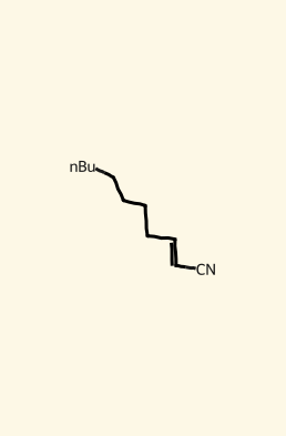 CCCCCCCC/C=C/C#N